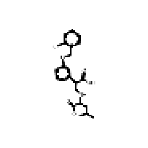 CC(C)CC(NCC(C(=O)O)c1cccc(OCc2ccccc2Cl)c1)C(=O)O